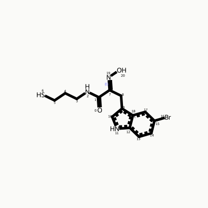 O=C(NCCCS)/C(Cc1c[nH]c2ccc(Br)cc12)=N/O